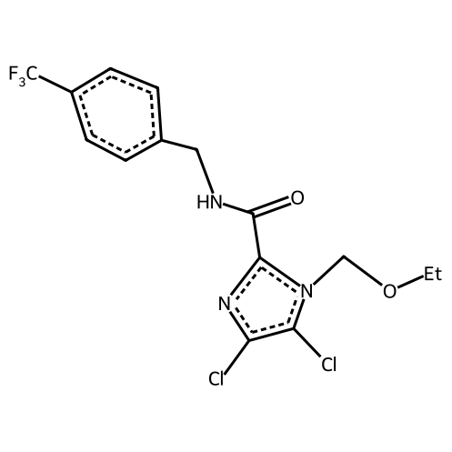 CCOCn1c(C(=O)NCc2ccc(C(F)(F)F)cc2)nc(Cl)c1Cl